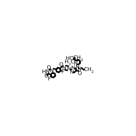 C=CCn1c(=O)c2cnc(N3CCN(C(=O)c4cc(Cn5c(=O)[nH]c(=O)c6c(F)cccc65)ccc4F)CC3)nc2n1-c1cccc(C(C)(C)O)n1